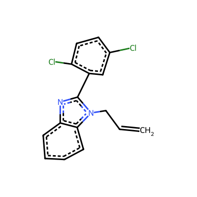 C=CCn1c(-c2cc(Cl)ccc2Cl)nc2ccccc21